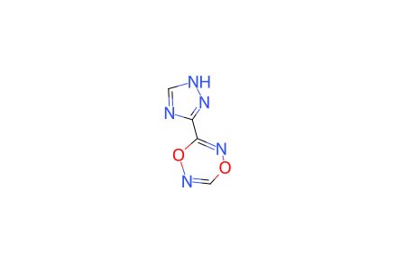 C1=NOC(c2nc[nH]n2)=NO1